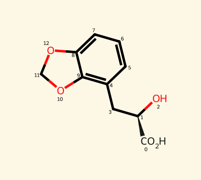 O=C(O)[C@H](O)Cc1cccc2c1OCO2